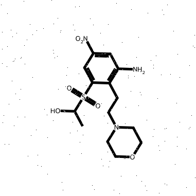 CC(O)S(=O)(=O)c1cc([N+](=O)[O-])cc(N)c1CCN1CCOCC1